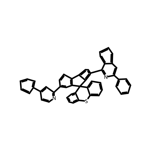 c1ccc(-c2ccnc(-c3ccc4c(c3)C3(c5ccccc5Sc5ccccc53)c3cc(-c5nc(-c6ccccc6)cc6ccccc56)ccc3-4)c2)cc1